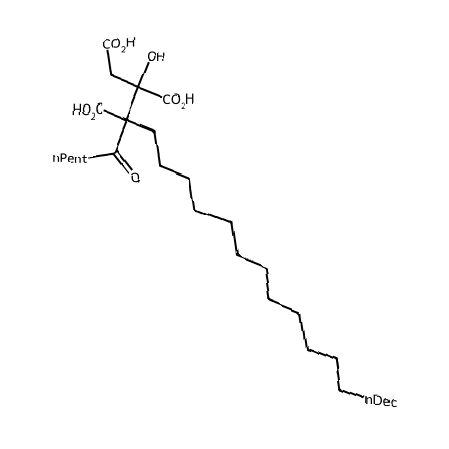 CCCCCCCCCCCCCCCCCCCCCCC(C(=O)O)(C(=O)CCCCC)C(O)(CC(=O)O)C(=O)O